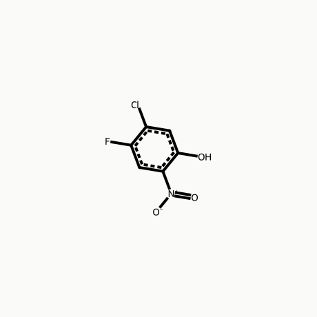 O=[N+]([O-])c1cc(F)c(Cl)cc1O